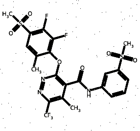 Cc1cc(S(C)(=O)=O)c(F)c(F)c1Oc1nnc(C(F)(F)F)c(C)c1C(=O)Nc1cccc(S(C)(=O)=O)c1